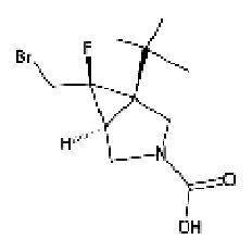 CC(C)(C)[C@@]12CN(C(=O)O)C[C@H]1[C@]2(F)CBr